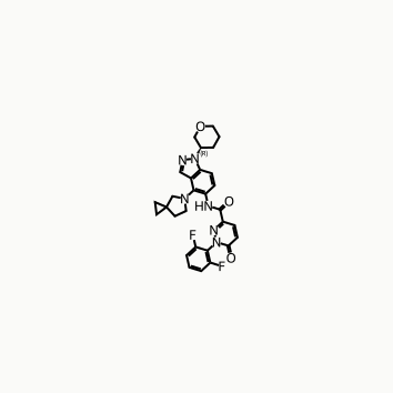 O=C(Nc1ccc2c(cnn2[C@@H]2CCCOC2)c1N1CCC2(CC2)C1)c1ccc(=O)n(-c2c(F)cccc2F)n1